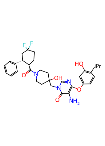 CC(C)c1ccc(Oc2ncn(CC3(O)CCN(C(=O)[C@@H]4CCC(F)(F)C[C@H]4c4ccccc4)CC3)c(=O)c2N)cc1O